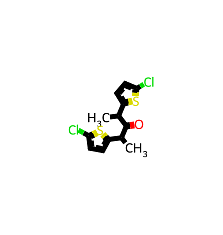 CC(C(=O)C(C)c1ccc(Cl)s1)c1ccc(Cl)s1